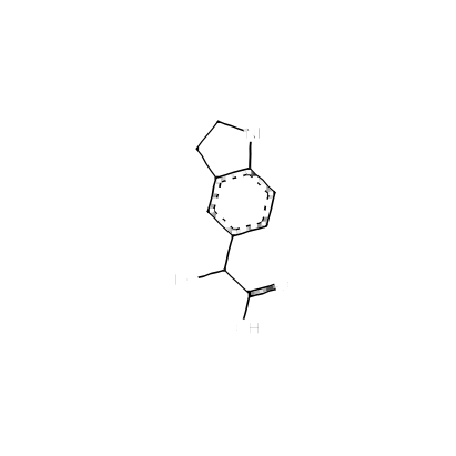 CC(C(=O)O)c1ccc2c(c1)CCN2